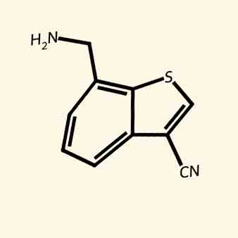 N#Cc1csc2c(CN)cccc12